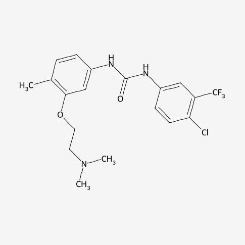 Cc1ccc(NC(=O)Nc2ccc(Cl)c(C(F)(F)F)c2)cc1OCCN(C)C